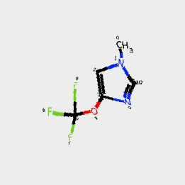 Cn1[c]c(OC(F)(F)F)nc1